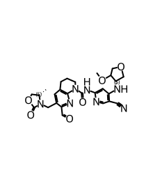 COC1COC[C@@H]1Nc1cc(NC(=O)N2CCCc3cc(CN4C(=O)OC[C@@H]4C)c(C=O)nc32)ncc1C#N